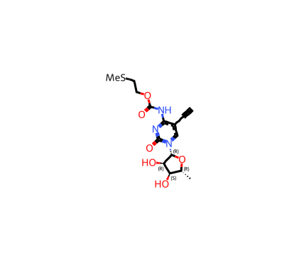 C#Cc1cn([C@@H]2O[C@H](C)[C@@H](O)[C@H]2O)c(=O)nc1NC(=O)OCCSC